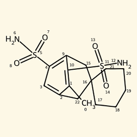 Cc1c2cc(S(N)(=O)=O)c(c1S(N)(=O)=O)CC1(CCCCC1)C2